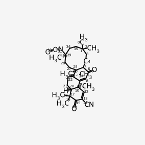 CC1(C)CCC2C(=O)C=C3[C@@]4(C)C=C(C#N)C(=O)C(C)(C)[C@@H]4CC[C@@]3(C)[C@]2(C)CC[C@@](C)(N=C=O)CC1